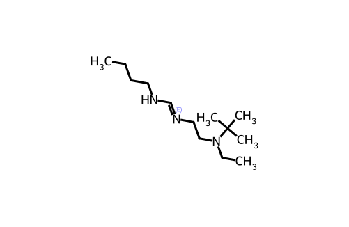 CCCCN/C=N/CCN(CC)C(C)(C)C